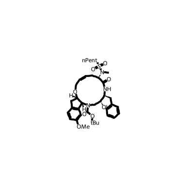 CCCCCS(=O)(=O)N(C)[C@H]1CC=CCO[C@H]2Cc3ccc(OC)cc3[C@H]2N(C(=O)OC(C)(C)C)C[C@@H](O)[C@H](Cc2ccccc2)NC1=O